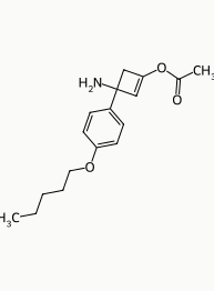 CCCCCOc1ccc(C2(N)C=C(OC(C)=O)C2)cc1